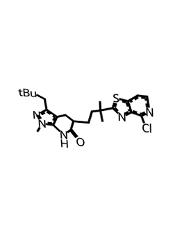 Cn1nc(CC(C)(C)C)c2c1NC(=O)C(CCC(C)(C)c1nc3c(Cl)nccc3s1)C2